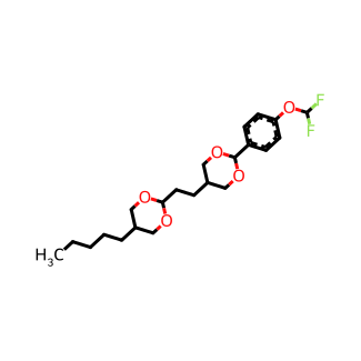 CCCCCC1COC(CCC2COC(c3ccc(OC(F)F)cc3)OC2)OC1